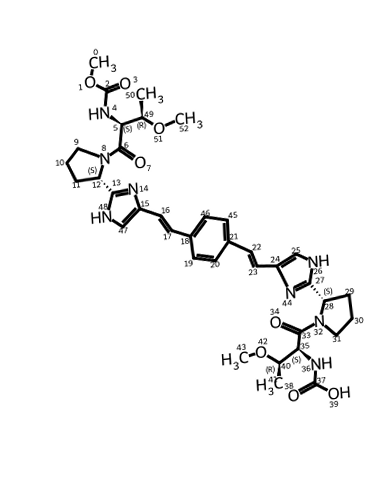 COC(=O)N[C@H](C(=O)N1CCC[C@H]1c1nc(C=Cc2ccc(C=Cc3c[nH]c([C@@H]4CCCN4C(=O)[C@@H](NC(=O)O)[C@@H](C)OC)n3)cc2)c[nH]1)[C@@H](C)OC